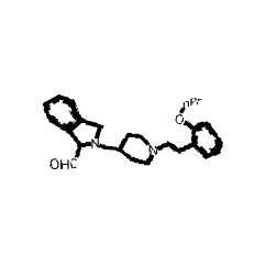 CCCOc1ccccc1CCN1CCC(CN2Cc3ccccc3C2C=O)CC1